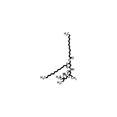 CCCCCCCCCCCCCC(=O)OCC(CCNC(=O)CC(C)(CC)OCCC(C)(CC)OC)OC(=O)CCCCCCCCCCCCC